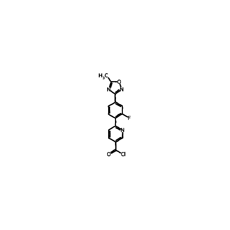 Cc1nc(-c2ccc(-c3ccc(C(=O)Cl)cn3)c(F)c2)no1